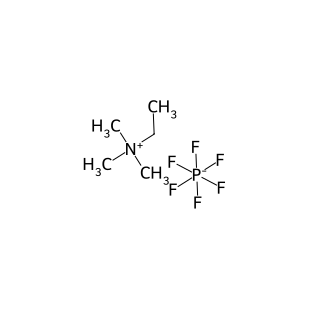 CC[N+](C)(C)C.F[P-](F)(F)(F)(F)F